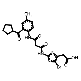 Cc1ccc(NC(=O)CC(=O)Nc2nc(CC(=O)O)c(Br)s2)c(C(=O)C2CCCC2)c1